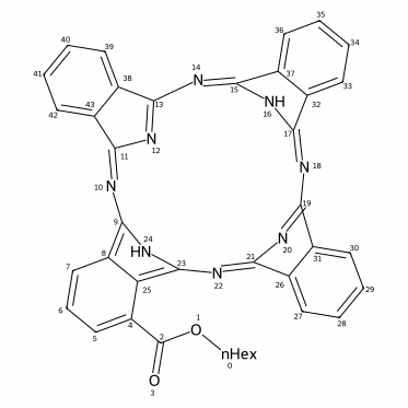 CCCCCCOC(=O)c1cccc2c3nc4nc(nc5[nH]c(nc6nc(nc([nH]3)c12)-c1ccccc1-6)c1ccccc51)-c1ccccc1-4